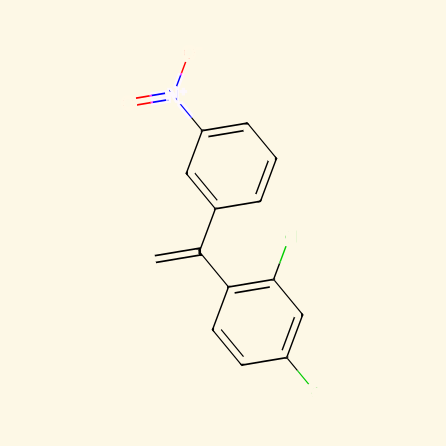 C=C(c1cccc([N+](=O)[O-])c1)c1ccc(Cl)cc1Cl